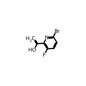 C=C(O)c1nc(Br)ccc1F